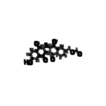 O=COCc1ccc2c(=O)c3c(sc4c(=O)c5ccc(O)cc5c(=O)c43)c(=O)c2c1